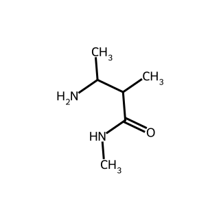 CNC(=O)C(C)C(C)N